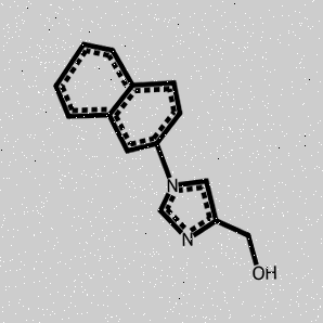 OCc1cn(-c2ccc3ccccc3c2)cn1